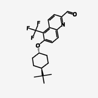 CC(C)(C)[C@H]1CC[C@H](Oc2ccc3nc(C=O)ccc3c2C(F)(F)F)CC1